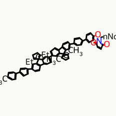 CCCCCCCCCC(Oc1ccc(-c2ccc(-c3ccc4c(c3)C3(c5cc(-c6ccc7c(c6)C6(c8cc(-c9ccc(-c%10ccc(C)cc%10)cc9)ccc8-7)C7(CC)CCC6(CC)CC7)ccc5-4)C4(C)CCC3(C)CC4)cc2)cc1)N1C(=O)C=CC1=O